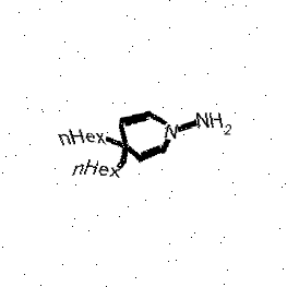 CCCCCCC1(CCCCCC)C=CN(N)C=C1